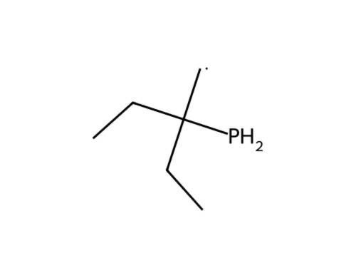 [CH2]C(P)(CC)CC